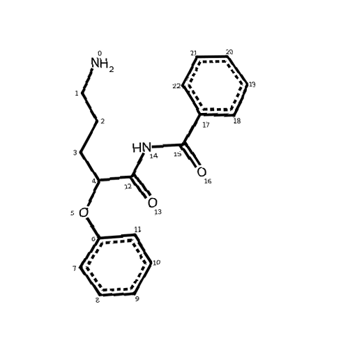 NCCCC(Oc1ccccc1)C(=O)NC(=O)c1ccccc1